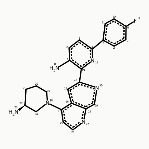 Nc1ccc(-c2ccc(F)cc2)nc1-c1cc2c(N3CCC[C@H](N)C3)ccnc2cn1